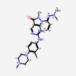 CCn1c(=O)c2cnc(Nc3ccc(N4CCN(C)CC4)c(C)c3)nc2n1C(/C=C\C=O)=N/N(C)C(C)(C)C